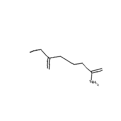 C=C(N)CCCC(=C)CC